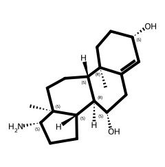 C[C@]12CC[C@H]3[C@@H]([C@@H](O)CC4=C[C@@H](O)CC[C@@]43C)[C@@H]1CC[C@@H]2N